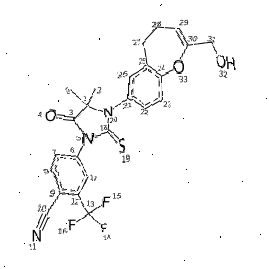 CC1(C)C(=O)N(c2ccc(C#N)c(C(F)(F)F)c2)C(=S)N1c1ccc2c(c1)CCC=C(CO)O2